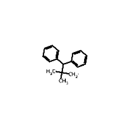 [CH2]C(C)(C)C(c1ccccc1)c1ccccc1